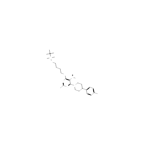 Cc1nc(OCCCCO[Si](C)(C)C(C)(C)C)c([N+](=O)[O-])c(N2CCC(c3ccc(F)cc3)CC2)n1